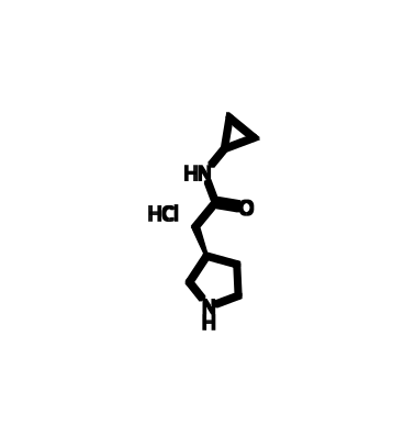 Cl.O=C(C[C@H]1CCNC1)NC1CC1